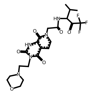 CC(C)C(NC(=O)Cn1ccc2c(=O)n(CCN3CCOCC3)c(=O)[nH]c2c1=O)C(=O)C(F)(F)F